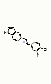 Fc1cc(/N=C/c2ccc3[nH]ncc3c2)ccc1Cl